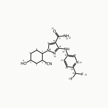 N#CC1CC(O)CCC1n1cc(C(N)=O)c(Nc2ccc(C(F)F)nc2)n1